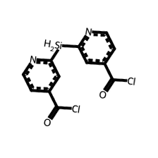 O=C(Cl)c1ccnc([SiH2]c2cc(C(=O)Cl)ccn2)c1